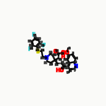 COc1ccc2ncc(C)c([C@H](O)CCC3(CC(=O)O)CCN(CCSc4c(F)cc(F)cc4F)CC3)c2c1